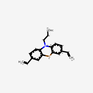 C=Cc1ccc2c(c1)Sc1cc(C=C)ccc1N2CCCCCCCCCCCC